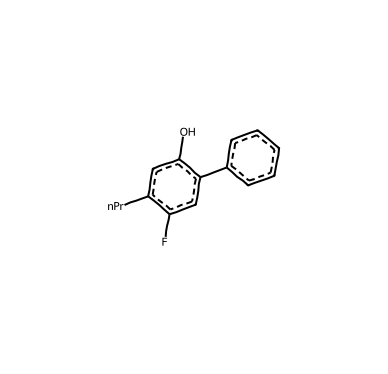 CCCc1cc(O)c(-c2ccccc2)cc1F